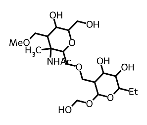 CCC1OC(OCO)C(COCC2OC(CO)C(O)C(COC)C2(C)NC(C)=O)C(O)C1O